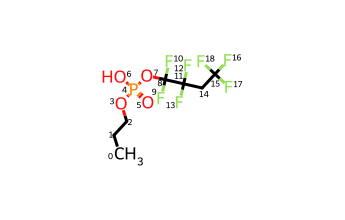 CCCOP(=O)(O)OC(F)(F)C(F)(F)CC(F)(F)F